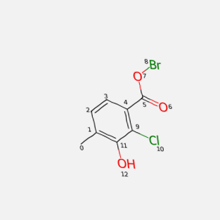 Cc1ccc(C(=O)OBr)c(Cl)c1O